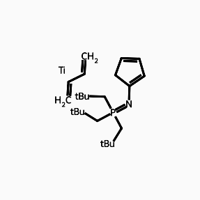 C=CC=C.CC(C)(C)CP(CC(C)(C)C)(CC(C)(C)C)=NC1=CC=CC1.[Ti]